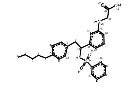 CCCCCc1ccc(CC(NS(=O)(=O)c2ccccn2)c2cccc(NCC(=O)O)n2)cc1